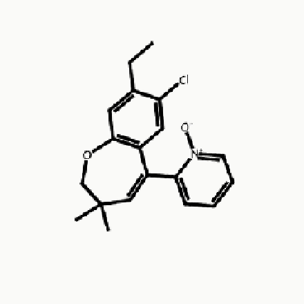 CCc1cc2c(cc1Cl)C(c1cccc[n+]1[O-])=CC(C)(C)CO2